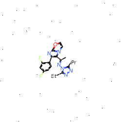 CCc1nnc(C(C)C)n1/N=C(\C)c1c(-c2ccc(F)cc2F)nc2occn12